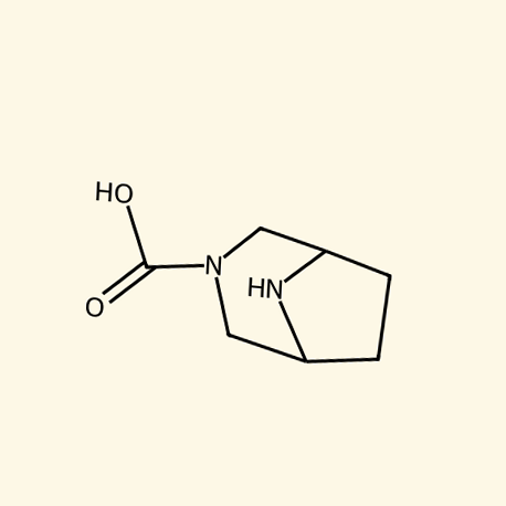 O=C(O)N1CC2CCC(C1)N2